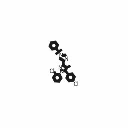 Cc1c(-c2cn(C(C)(C)c3ccccc3)cn2)nn(-c2ccccc2Cl)c1-c1ccc(Cl)cc1